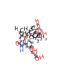 C=CC.C=CC.CCCCC1C(=O)NN(c2ccccc2)C1=O.CCOCC.OCCO.OCCO